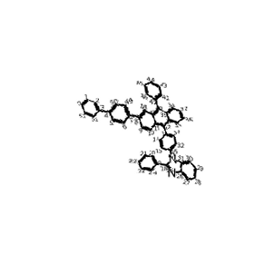 c1ccc(-c2ccc(-c3ccc4c(-c5ccc(-n6c(-c7ccccc7)nc7ccccc76)cc5)c5ccccc5c(-c5ccccc5)c4c3)cc2)cc1